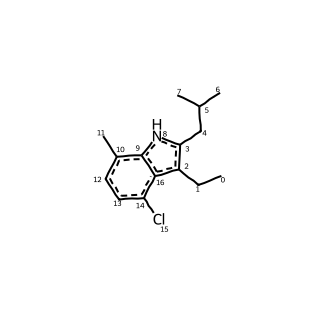 CCc1c(CC(C)C)[nH]c2c(C)ccc(Cl)c12